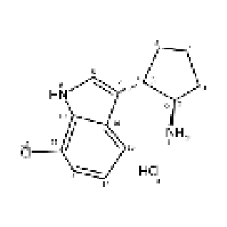 Cl.N[C@@H]1CCC[C@H]1c1c[nH]c2c(Cl)cccc12